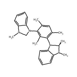 Cc1cc(C)c(N2c3ccccc3N(C)[C@@H]2C)c(C)c1N1CN(C)c2ccccc21